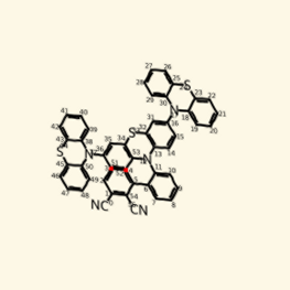 N#Cc1cccc(-c2ccccc2N2c3ccc(N4c5ccccc5Sc5ccccc54)cc3Sc3cc(N4c5ccccc5Sc5ccccc54)ccc32)c1C#N